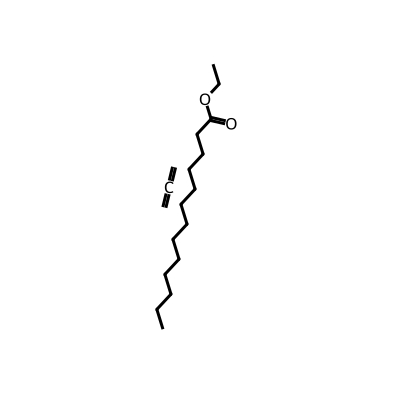 C=C=C.CCCCCCCCCCCCC(=O)OCC